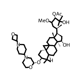 COC(C[C@@H](C)[C@H]1C[C@H](O)[C@@]2(C)C3CC[C@H]4C(C)(C)[C@@H](O[C@H]5CN(C6CCN(C7COC7)CC6)CCO5)CC[C@@]45CC35CC[C@]12C)[C@H](OC(C)=O)C(C)(C)O